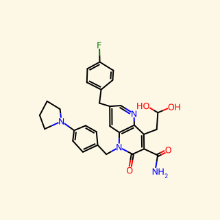 NC(=O)c1c(CC(O)O)c2ncc(Cc3ccc(F)cc3)cc2n(Cc2ccc(N3CCCC3)cc2)c1=O